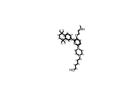 CNCCOc1ccc(N2CCN(CCCCCO)CC2)nc1-c1ccc2c(c1)C(C)(C)CCC2(C)C